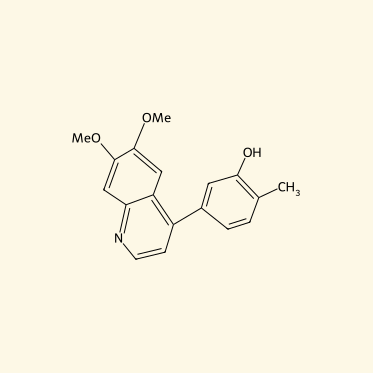 COc1cc2nccc(-c3ccc(C)c(O)c3)c2cc1OC